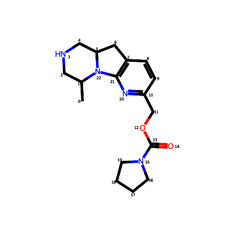 CC1CNCC2Cc3ccc(COC(=O)N4CCCC4)nc3N12